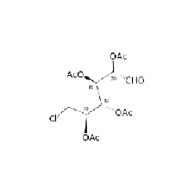 CC(=O)O[C@H]([C@H](OC(C)=O)[C@H](CCl)OC(C)=O)[C@@H](C=O)OC(C)=O